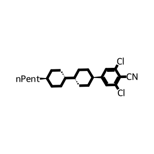 CCCCC[C@H]1CC[C@H]([C@H]2CC[C@H](c3cc(Cl)c(C#N)c(Cl)c3)CC2)CC1